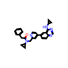 O=C(Cc1ccccc1)N(Cc1cc(-c2ccc3ncnc(NC4CC4)c3c2)ccn1)C1CC1